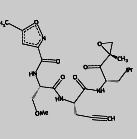 C#CC[C@H](NC(=O)[C@H](COC)NC(=O)c1cc(C)on1)C(=O)N[C@@H](CC(C)C)C(=O)[C@@]1(C)CO1